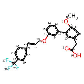 COc1ccc(CC(=O)O)cc1-c1cccc(OCC=Cc2ccc(C(F)(F)F)cc2)c1